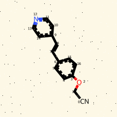 N#CCOc1ccc(/C=C/c2ccncc2)cc1